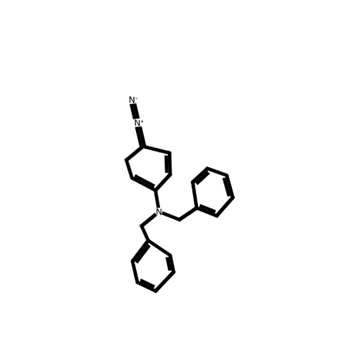 [N-]=[N+]=C1C=CC(N(Cc2ccccc2)Cc2ccccc2)=CC1